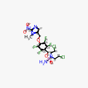 Cn1c(COc2c(F)c(F)c(COP(N)(=O)N(CCCl)CCCl)c(F)c2F)cnc1[N+](=O)[O-]